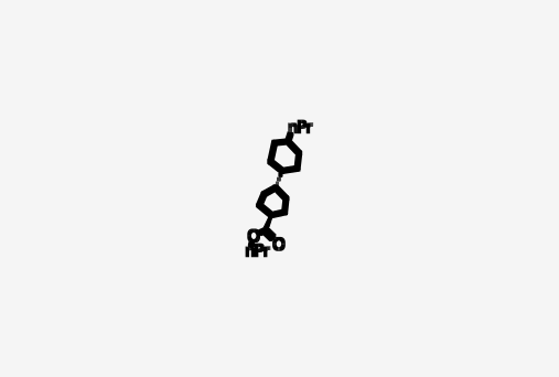 CCCOC(=O)[C@H]1CC[C@H](C2CCC(CCC)CC2)CC1